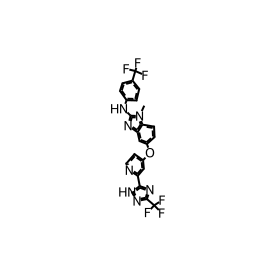 Cn1c(Nc2ccc(C(F)(F)F)cc2)nc2cc(Oc3ccnc(-c4nc(C(F)(F)F)n[nH]4)c3)ccc21